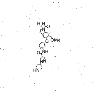 COCc1cc2c(ccn2C(N)=O)cc1Oc1ccnc(NC(=O)c2cnn(C3CCNCC3)c2)c1